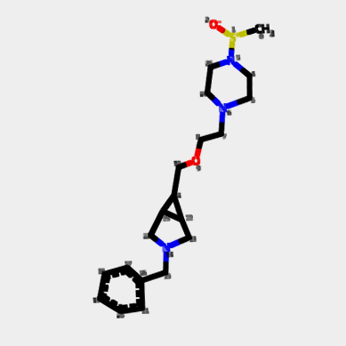 C[S+]([O-])N1CCN(CCOCC2C3CN(Cc4ccccc4)CC23)CC1